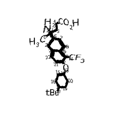 CC(N)(CCC(=O)O)c1ccc2c(C(F)(F)F)c(OC3CCC(C(C)(C)C)CC3)ccc2c1